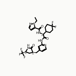 CCn1nccc1C(=O)N[C@H](C(=O)Nc1cc(C[C@H]2C[C@@H](C(F)(F)F)NC2=O)ccn1)C1CCC(F)(F)CC1